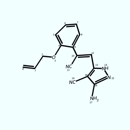 C=CCOc1ccccc1/C(C#N)=C/c1[nH]nc(N)c1C#N